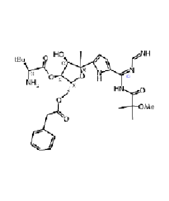 COC(C)(C)C(=O)N/C(=N/C=N)c1ccc([C@]2(C)O[C@H](COC(=O)Cc3ccccc3)[C@@H](OC(=O)[C@@H](N)C(C)(C)C)[C@H]2O)[nH]1